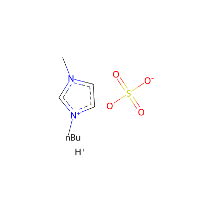 CCCC[n+]1ccn(C)c1.O=S(=O)([O-])[O-].[H+]